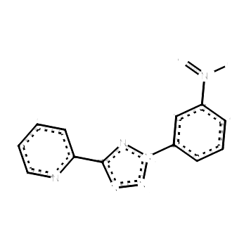 O=[N+]([O-])c1cccc(-n2nnc(-c3ccccn3)n2)c1